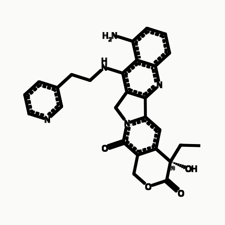 CC[C@@]1(O)C(=O)OCc2c1cc1n(c2=O)Cc2c-1nc1cccc(N)c1c2NCCc1cccnc1